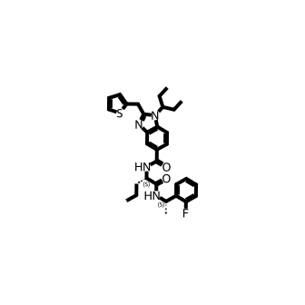 CCC[C@H](NC(=O)c1ccc2c(c1)nc(Cc1cccs1)n2C(CC)CC)C(=O)N[C@@H](C)c1ccccc1F